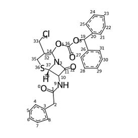 O=C(Cc1ccccc1)NC1C(=O)N2C(OC(=O)OC(c3ccccc3)c3ccccc3)=C(CCl)CS[C@@H]12